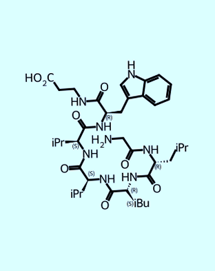 CC[C@H](C)[C@@H](NC(=O)[C@@H](CC(C)C)NC(=O)CN)C(=O)N[C@H](C(=O)N[C@H](C(=O)N[C@H](Cc1c[nH]c2ccccc12)C(=O)NCCC(=O)O)C(C)C)C(C)C